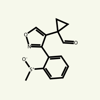 C[S+]([O-])c1ccccc1-c1nocc1C1(C=O)CC1